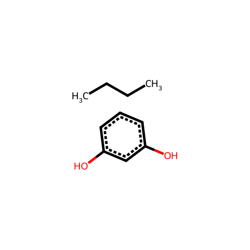 CCCC.Oc1cccc(O)c1